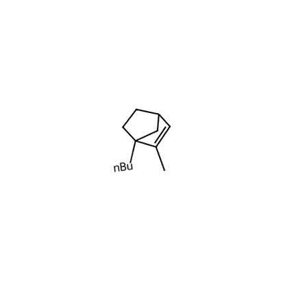 CCCCC12CCC(C=C1C)C2